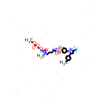 CCOC(=O)OCON=[N+]([O-])N(C)CCCCC(=O)NS(=O)(=O)c1ccc(-n2nc(C(F)(F)F)cc2-c2ccc(C)cc2)cc1